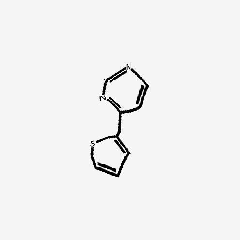 [c]1nccc(-c2cccs2)n1